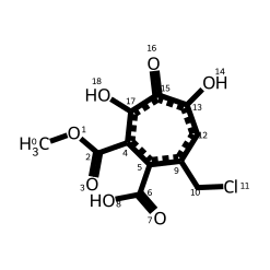 COC(=O)c1c(C(=O)O)c(CCl)cc(O)c(=O)c1O